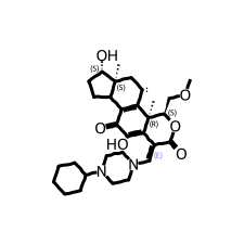 COC[C@H]1OC(=O)/C(=C/N2CCN(C3CCCCC3)CC2)C2=C(O)C(=O)C3=C([C]C[C@@]4(C)C3CC[C@@H]4O)[C@]21C